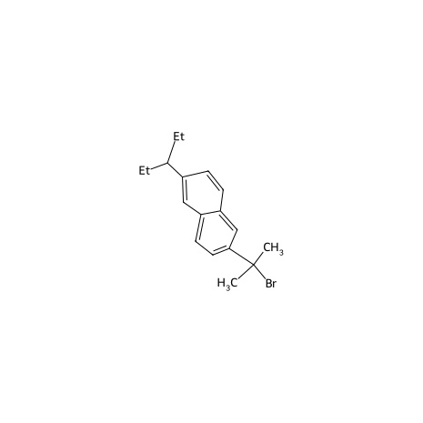 CCC(CC)c1ccc2cc(C(C)(C)Br)ccc2c1